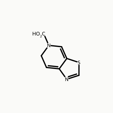 O=C(O)N1C=c2scnc2=CC1